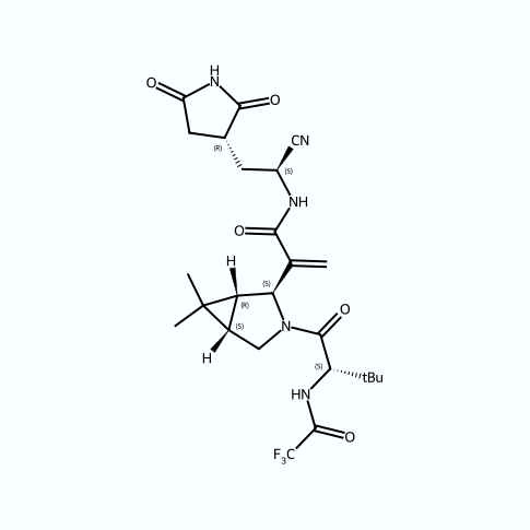 C=C(C(=O)N[C@H](C#N)C[C@@H]1CC(=O)NC1=O)[C@@H]1[C@@H]2[C@H](CN1C(=O)[C@@H](NC(=O)C(F)(F)F)C(C)(C)C)C2(C)C